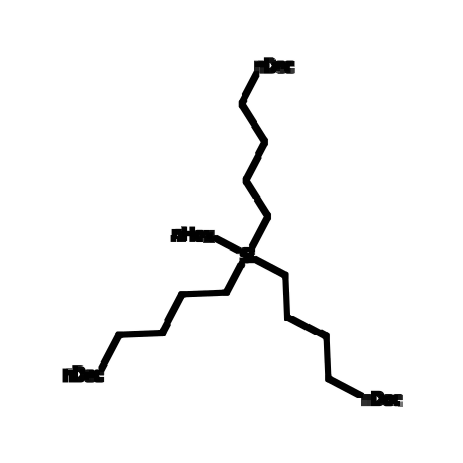 CCCCCCCCCCCCCC[Si](CCCCCC)(CCCCCCCCCCCCCC)CCCCCCCCCCCCCC